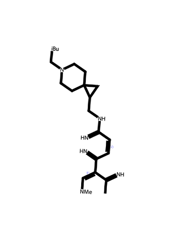 CCC(C)CN1CCC2(CC1)CC2CNC(=N)/C=C\C(=N)/C(=C/NC)C(C)=N